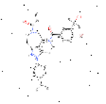 C=CC(=O)N1CCc2nn(-c3ccc(C(C)C)cc3)c3c2[C@H](C1)N(C(=O)c1ccc(Br)c(C(C)(C)O)c1)CC3